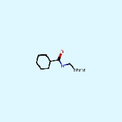 CCCCCC[N]C(=O)C1CCCCC1